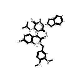 COc1ccc(CNC(=O)[C@H](c2ccc(F)cc2F)N2C(=O)[C@@H](C3Cc4ccccc4C3)NC(=O)[C@H]2CC(C)C)cc1OC